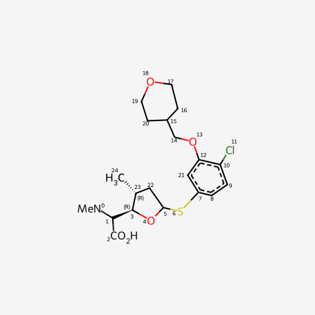 CNC(C(=O)O)[C@@H]1OC(Sc2ccc(Cl)c(OCC3CCOCC3)c2)C[C@H]1C